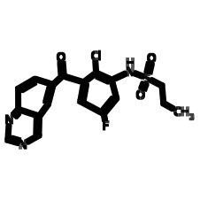 CCCS(=O)(=O)Nc1cc(F)cc(C(=O)c2ccc3ncncc3c2)c1Cl